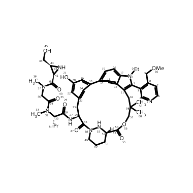 CCn1c(-c2cnccc2COC)c2c3cc(ccc31)-c1cc(O)cc(c1)C[C@H](NC(=O)[C@H](C(C)C)N(C)C(=O)CN(C)C(=O)[C@@H]1N[C@@H]1CO)C(=O)N1CCC[C@H](N1)C(=O)OCC(C)(C)C2